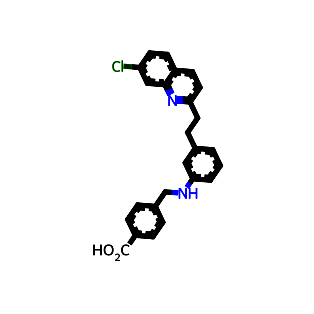 O=C(O)c1ccc(CNc2cccc(CCc3ccc4ccc(Cl)cc4n3)c2)cc1